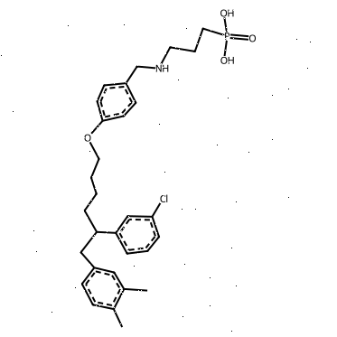 Cc1ccc(CC(CCCCOc2ccc(CNCCCP(=O)(O)O)cc2)c2cccc(Cl)c2)cc1C